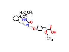 CCOC(Cc1ccc(OCCN(CCCC2CCCCC2)C(=O)NCC(C)(C)C)cc1)C(=O)O